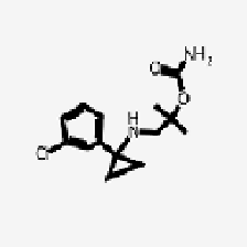 CC(C)(CNC1(c2cccc(Cl)c2)CC1)OC(N)=O